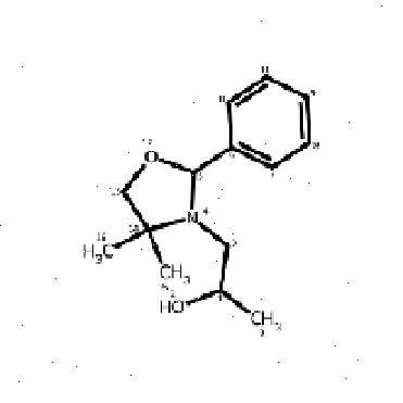 CC(O)CN1C(c2ccccc2)OCC1(C)C